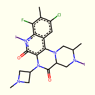 Cc1c(Cl)cc2c3c(c(=O)n(I)c2c1F)N(C1CN(C)C1)C(=O)C1CN(I)C(C)CN31